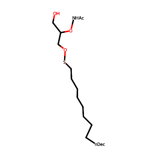 CCCCCCCCCCCCCCCCCCSOCC(CO)ONC(C)=O